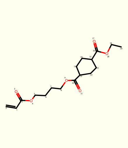 C=CC(=O)OCCCCOC(=O)C1CCC(C(=O)OCC)CC1